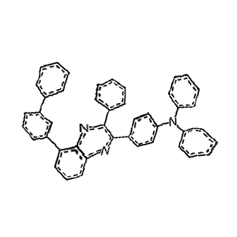 c1ccc(-c2cccc(-c3cccc4nc(-c5ccc(N(c6ccccc6)c6ccccc6)cc5)c(-c5ccccc5)nc34)c2)cc1